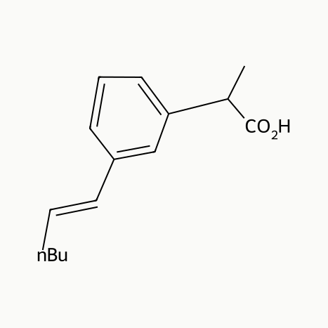 CCCCC=Cc1cccc(C(C)C(=O)O)c1